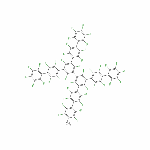 Cc1c(F)c(F)c(-c2c(F)c(F)c(-c3c(F)c(-c4c(F)c(F)c(-c5c(F)c(F)c(F)c(F)c5F)c(F)c4F)c(F)c(-c4c(F)c(-c5c(F)c(F)c(-c6c(F)c(F)c(F)c(F)c6F)c(F)c5F)c(F)c(-c5c(F)c(F)c(-c6c(F)c(F)c(F)c(F)c6F)c(F)c5F)c4F)c3F)c(F)c2F)c(F)c1F